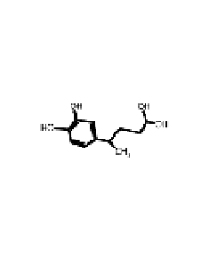 CC(CCC(O)O)c1ccc(O)c(O)c1